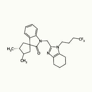 CC1CC2(C[C@H]1C)C(=O)N(Cc1nc3c(n1CCCC(F)(F)F)CCCC3)c1ccccc12